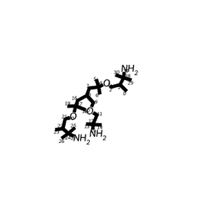 CC(COC(C)(C)CC(COCC(C)(C)N)CC(C)(C)OCC(C)C(C)(C)N)C(C)(C)N